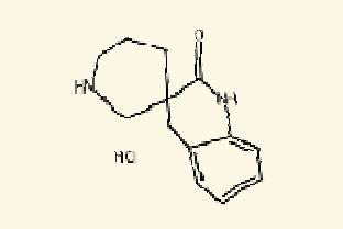 Cl.O=C1Nc2ccccc2CC12CCCNC2